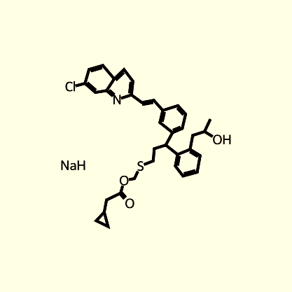 CC(O)Cc1ccccc1C(CCSCOC(=O)CC1CC1)c1cccc(/C=C/c2ccc3ccc(Cl)cc3n2)c1.[NaH]